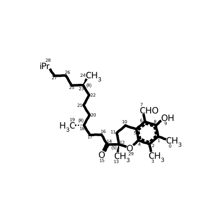 Cc1c(C)c2c(c(C=O)c1O)CC[C@@](C)(C(=O)CC[C@H](C)CCC[C@H](C)CCCC(C)C)O2